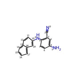 N#Cc1cc(N)ccc1Nc1ccc2ccccc2c1